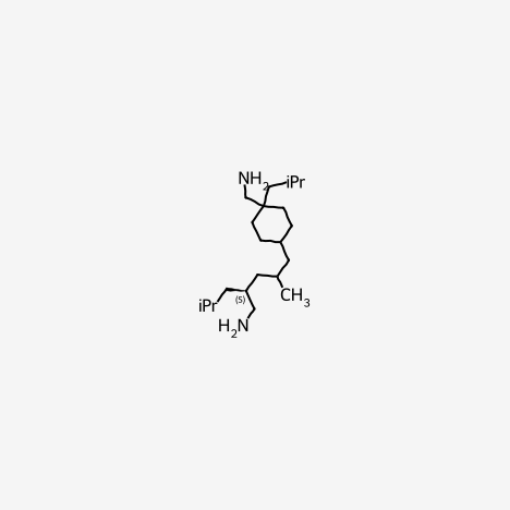 CC(C)C[C@H](CN)CC(C)CC1CCC(CN)(CC(C)C)CC1